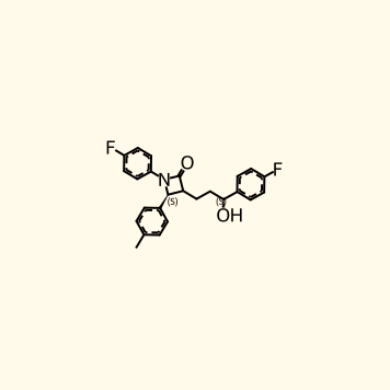 Cc1ccc([C@@H]2C(CC[C@H](O)c3ccc(F)cc3)C(=O)N2c2ccc(F)cc2)cc1